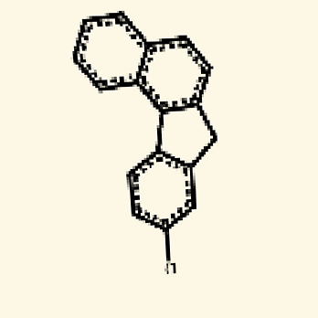 Clc1ccc2c(c1)Cc1ccc3ccccc3c1-2